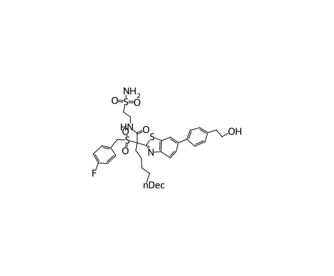 CCCCCCCCCCCCCCC(C(=O)NCCS(N)(=O)=O)(c1nc2ccc(-c3ccc(CCO)cc3)cc2s1)S(=O)(=O)Cc1ccc(F)cc1